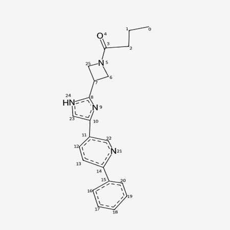 CCCC(=O)N1CC(c2nc(-c3ccc(-c4ccccc4)nc3)c[nH]2)C1